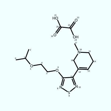 CC(C)OCCOc1nsnc1C1=CCCN(C)C1.O=C(O)C(=O)O